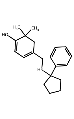 CC1(C)CC(CNC2(c3ccccc3)CCCC2)=CC=C1O